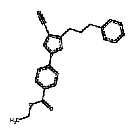 CCOC(=O)c1ccc(-n2cc(C#N)c(CCCc3ccccc3)c2)cc1